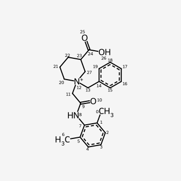 Cc1cccc(C)c1NC(=O)C[N+]1(Cc2ccccc2)CCCC(C(=O)O)C1